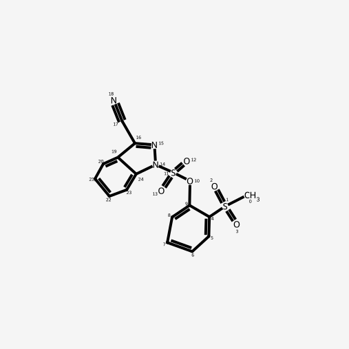 CS(=O)(=O)c1ccccc1OS(=O)(=O)n1nc(C#N)c2c[c]ccc21